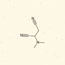 CN(C)C(C#N)CC#N